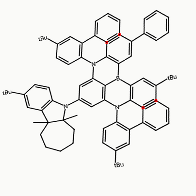 CC(C)(C)c1ccc2c(c1)B1c3cc(-c4ccccc4)ccc3N(c3ccc(C(C)(C)C)cc3-c3ccccc3)c3cc(N4c5ccc(C(C)(C)C)cc5C5(C)CCCCCC45C)cc(c31)N2c1ccc(C(C)(C)C)cc1-c1ccccc1